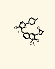 Cn1c(=O)c(N2CCC2=O)cc2cc(Nc3nc(N4CCN(I)CC4)ncc3Cl)ccc21